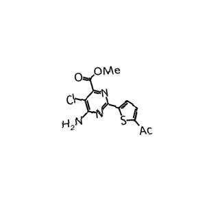 COC(=O)c1nc(-c2ccc(C(C)=O)s2)nc(N)c1Cl